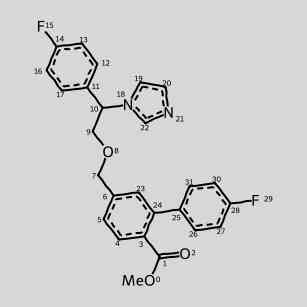 COC(=O)c1ccc(COCC(c2ccc(F)cc2)n2ccnc2)cc1-c1ccc(F)cc1